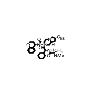 CCO[C@@H]1C[C@@H]2CN(C(=O)[C@@H](NC(=O)[C@H](C)NC)C3CCCCC3)[C@H](C(=O)N[C@@H]3CCOc4ccccc43)CN2C1